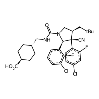 CC(C)(C)C[C@@H]1CN(C(=O)NC[C@H]2CC[C@H](C(=O)O)CC2)[C@H](c2cccc(Cl)c2F)[C@@]1(C#N)c1ccc(Cl)cc1F